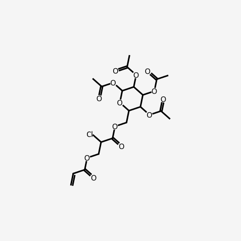 C=CC(=O)OCC(Cl)C(=O)OCC1OC(OC(C)=O)C(OC(C)=O)C(OC(C)=O)C1OC(C)=O